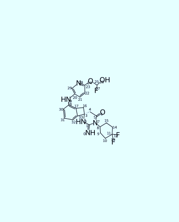 N=C1N[C@]2(CC(=O)N1C1CCC(F)(F)CC1)Cc1c(Nc3ccc(OC(O)F)nc3)cccc12